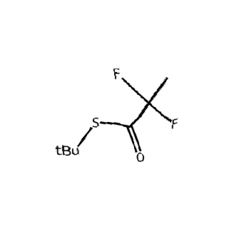 CC(C)(C)SC(=O)C(C)(F)F